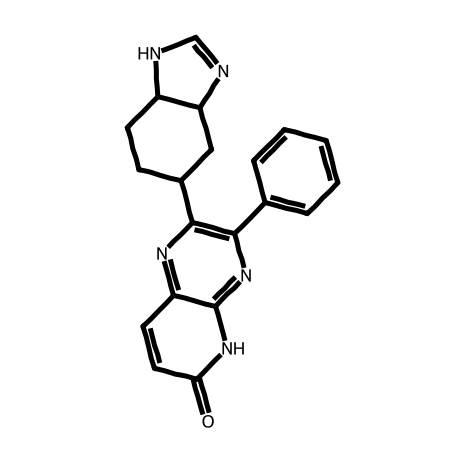 O=c1ccc2nc(C3CCC4NC=NC4C3)c(-c3ccccc3)nc2[nH]1